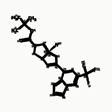 CC(C)(C)OC(=O)N1CC2C=C(c3cc(C(F)(F)F)cn4cncc34)C[C@@H]2C1